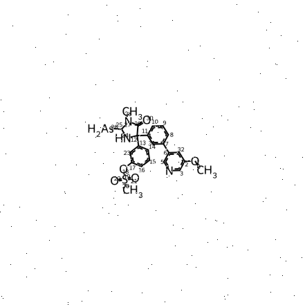 COc1cncc(-c2cccc(C3(c4cccc(OS(C)(=O)=O)c4)NC([AsH2])N(C)C3=O)c2)c1